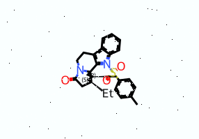 CC[C@@H]1C2CC(=O)N3CCc4c(n(S(=O)(=O)c5ccc(C)cc5)c5ccccc45)C23C[C@H]1C